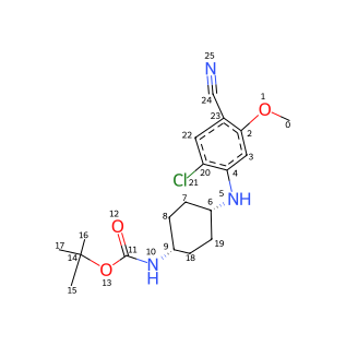 COc1cc(N[C@H]2CC[C@@H](NC(=O)OC(C)(C)C)CC2)c(Cl)cc1C#N